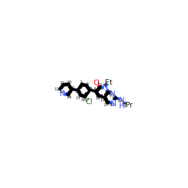 CCn1c(=O)c(-c2ccc(-c3cccnc3)cc2Cl)cc2cnc(NC(C)C)nc21